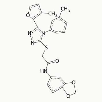 Cc1cccc(-n2c(SCC(=O)Nc3ccc4c(c3)OCO4)nnc2-c2occc2C)c1